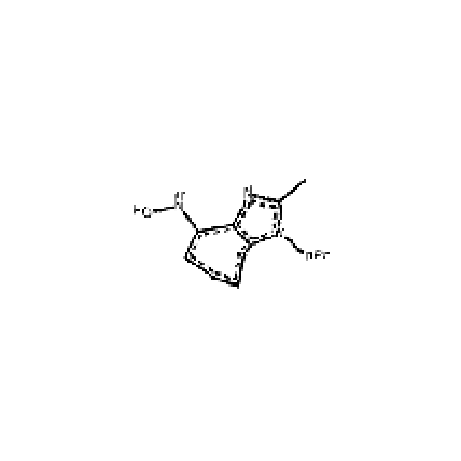 CCCn1c(C)nc2c(NO)cccc21